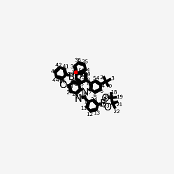 CC(C)(C)c1ccc(-n2c(-c3cccc(B4OC(C)(C)C(C)(C)O4)c3)nc3cc4c5c(c32)Oc2ccccc2B5c2ccccc2O4)c(-c2ccccc2)c1